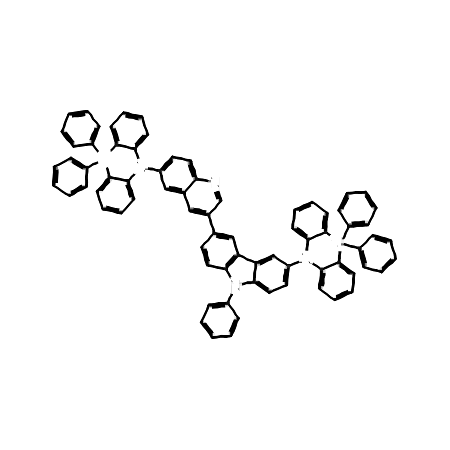 c1ccc(-n2c3ccc(-c4cnc5ccc(N6c7ccccc7[Si](c7ccccc7)(c7ccccc7)c7ccccc76)cc5c4)cc3c3cc(N4c5ccccc5[Si](c5ccccc5)(c5ccccc5)c5ccccc54)ccc32)cc1